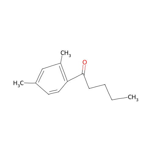 CCCCC(=O)c1ccc(C)cc1C